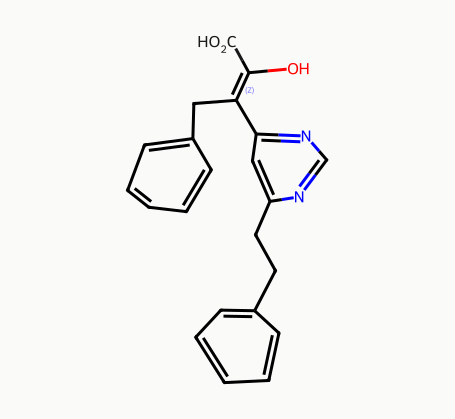 O=C(O)/C(O)=C(\Cc1ccccc1)c1cc(CCc2ccccc2)ncn1